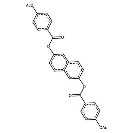 CC(=O)Oc1ccc(C(=O)Oc2ccc3cc(OC(=O)c4ccc(OC(C)=O)cc4)ccc3c2)cc1